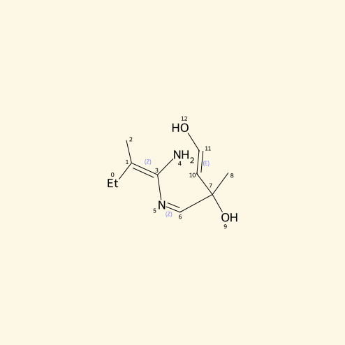 CC/C(C)=C(N)\N=C/C(C)(O)/C=C/O